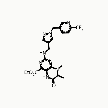 CCOC(=O)c1nc(NCc2cnn(Cc3ccc(C(F)(F)F)nc3)c2)nc2c1NC(=O)C(C)N2C